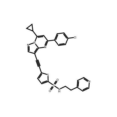 O=S(=O)(NCCc1ccncc1)c1ccc(C#Cc2cnn3c(C4CC4)cc(-c4ccc(Cl)cc4)nc23)s1